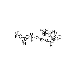 CCNC(=O)[C@H](Cc1ccc(F)cc1)NC(=O)[C@@H]1CCCN1C(=O)[C@@H](NC(=O)[C@H](C)NCCOCCOCCOCCNC(=O)c1ccc2c(c1)c1cn(C)nc1n2-c1ccc(C(F)(F)F)cc1)C1CCCCC1